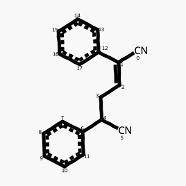 N#CC(=CCC(C#N)c1ccccc1)c1ccccc1